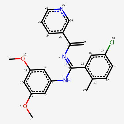 C=C(/N=C(/Nc1cc(OC)cc(OC)c1)c1cc(Cl)ccc1C)c1cccnc1